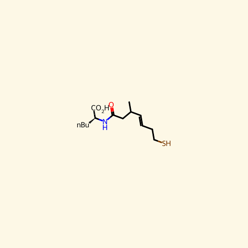 CCCC[C@H](NC(=O)CC(C)/C=C/CCS)C(=O)O